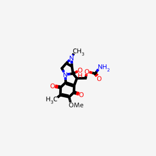 COC1=C(C)C(=O)C2=C(C1=O)C(COC(N)=O)C1(O)C3C(CN21)N3C